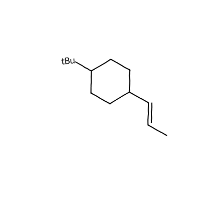 CC=CC1CCC(C(C)(C)C)CC1